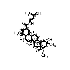 COC(=O)[C@]12CCC(C)(C)CC1C1=CCC3[C@@]4(C)CC(C(=O)NCCC(C)C)C(=O)C(C)(C)C4CC[C@@]3(C)[C@]1(C)CC2